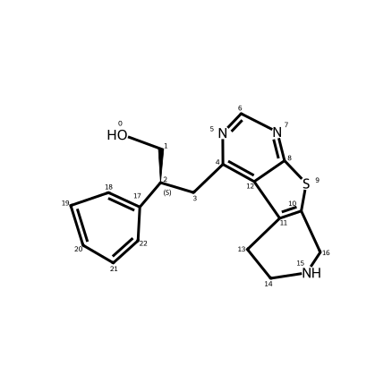 OC[C@@H](Cc1ncnc2sc3c(c12)CCNC3)c1ccccc1